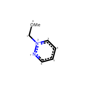 COC[n+]1ccccn1